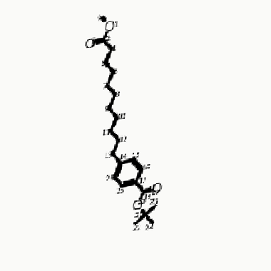 COC(=O)CCCCCCCCCCc1ccc(C(=O)OC(C)(C)C)cc1